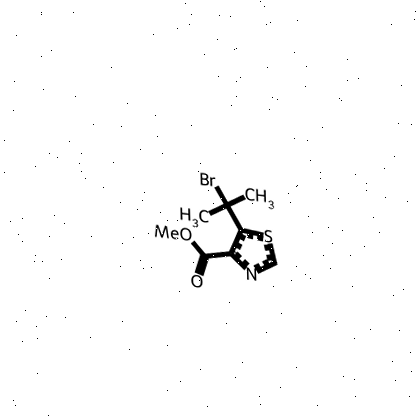 COC(=O)c1ncsc1C(C)(C)Br